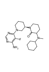 CN(C1CCCCC1)C1CCCN([C@@H]2CCCN(c3ncnc(N)c3F)C2)C1=O